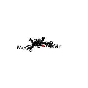 C/C=c1/oc2cc(OCC(=O)SOC)c(CC=C(C)C)c(O)c2c(=O)/c1=C(CC=C(C)C)/C(=C/OCC(=O)SOC)OC